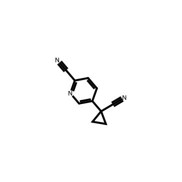 N#Cc1ccc(C2(C#N)CC2)cn1